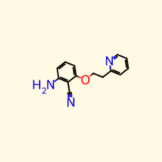 N#Cc1c(N)cccc1OCCc1ccccn1